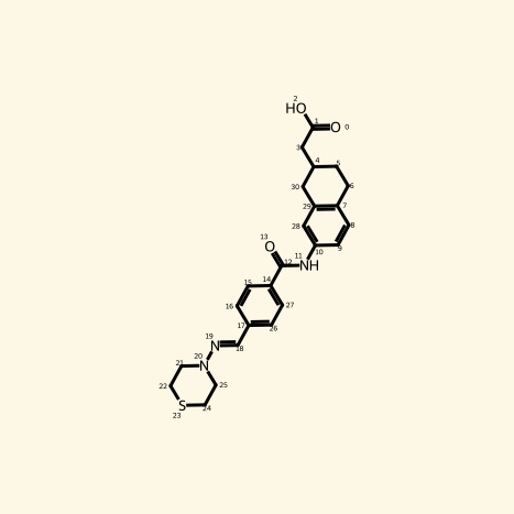 O=C(O)CC1CCc2ccc(NC(=O)c3ccc(C=NN4CCSCC4)cc3)cc2C1